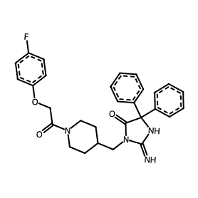 N=C1NC(c2ccccc2)(c2ccccc2)C(=O)N1CC1CCN(C(=O)COc2ccc(F)cc2)CC1